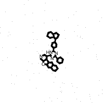 c1ccc(C2=NC(c3ccc(-c4cccc5ccccc45)cc3)NC(c3cncc4oc5cc6ccccc6cc5c34)=N2)cc1